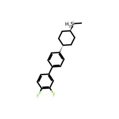 C[SiH2][C@H]1CC[C@H](c2ccc(-c3ccc(F)c(F)c3)cc2)CC1